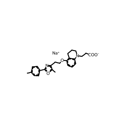 Cc1ccc(-c2nc(CCOc3cccc4c3CCCN4CCC(=O)[O-])c(C)o2)cc1.[Na+]